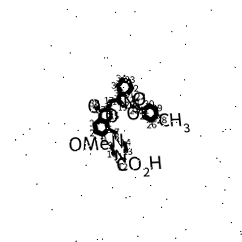 COc1ccc2c(c1CN1CCN(C(=O)O)CC1)O/C(=C\c1cn(S(=O)(=O)c3ccc(C)cc3)c3ccccc13)C2=O